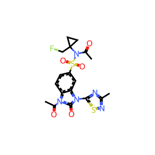 CC(=O)N(C1(CF)CC1)S(=O)(=O)c1ccc2c(c1)n(-c1nc(C)ns1)c(=O)n2C(C)=O